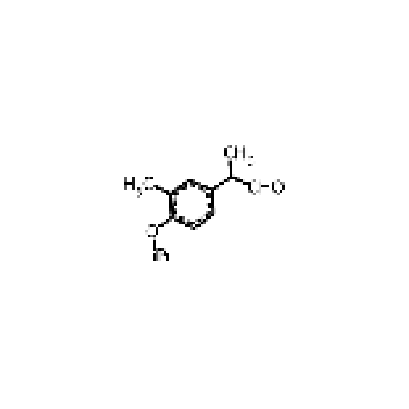 Cc1cc(C(C)C=O)ccc1OC(C)C